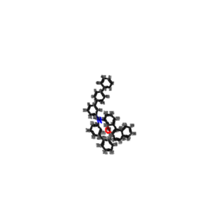 c1ccc(-c2ccc(-c3cccc(N(c4cccc(-c5ccccc5)c4)c4cccc5c4oc4ccc6ccccc6c45)c3)cc2)cc1